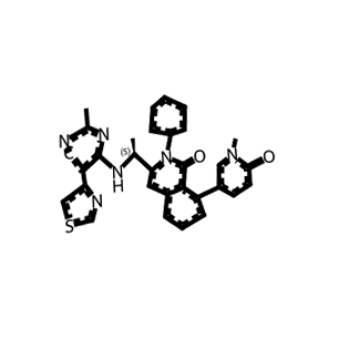 Cc1ncc(-c2cscn2)c(N[C@@H](C)c2cc3cccc(-c4ccc(=O)n(C)c4)c3c(=O)n2-c2ccccc2)n1